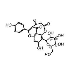 O=C1CC(=O)c2c(-c3ccc(O)cc3)oc3cc(O)c(C4O[C@H](CO)[C@@H](O)[C@H](O)[C@H]4O)c(c3c2=O)O1